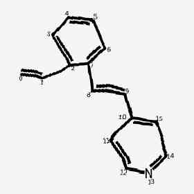 C=Cc1ccccc1C=Cc1ccncc1